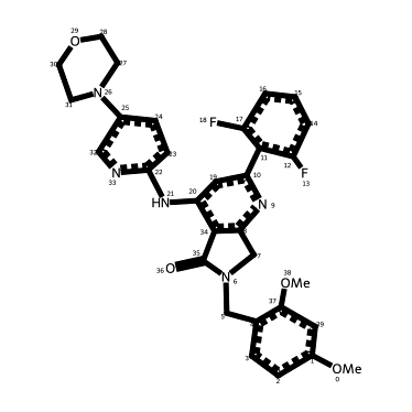 COc1ccc(CN2Cc3nc(-c4c(F)cccc4F)cc(Nc4ccc(N5CCOCC5)cn4)c3C2=O)c(OC)c1